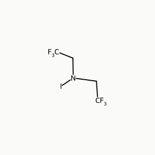 FC(F)(F)CN(I)CC(F)(F)F